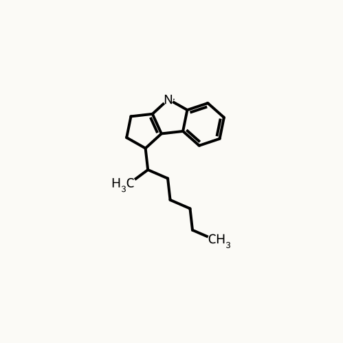 CCCCCC(C)C1CCC2=C1c1ccccc1[N]2